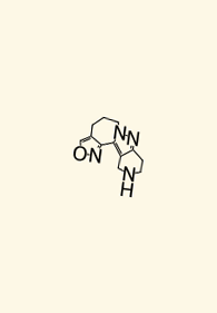 c1onc2c1CCCn1nc3c(c1-2)CNCC3